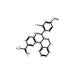 COc1ccc(C2Nc3ccc(C(=N)N)cc3C3c4ccccc4CCC23)c(F)c1